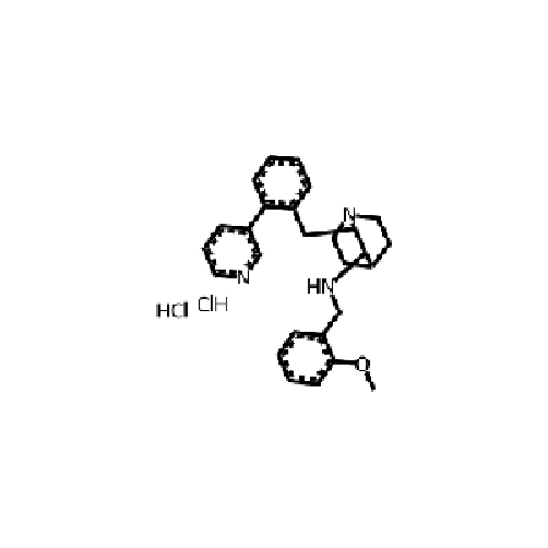 COc1ccccc1CNC1C2CCN(CC2)C1Cc1ccccc1-c1cccnc1.Cl.Cl